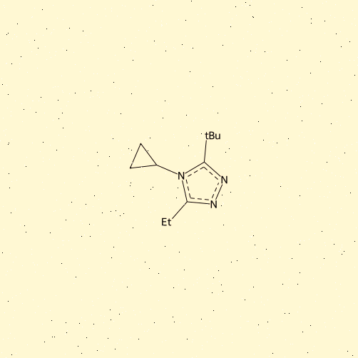 CCc1nnc(C(C)(C)C)n1C1CC1